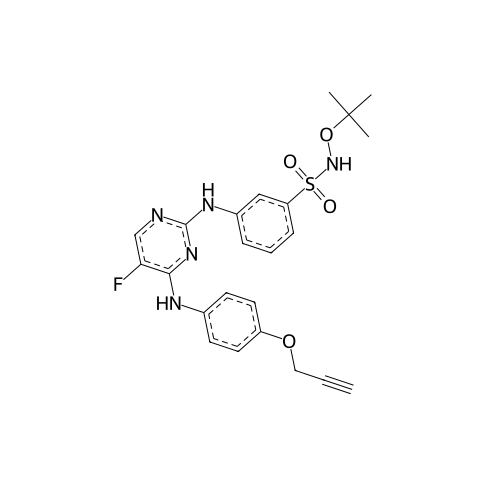 C#CCOc1ccc(Nc2nc(Nc3cccc(S(=O)(=O)NOC(C)(C)C)c3)ncc2F)cc1